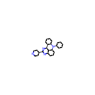 c1ccc(N2c3ccccc3-c3nc(-c4ccncc4)nc4cccc2c34)cc1